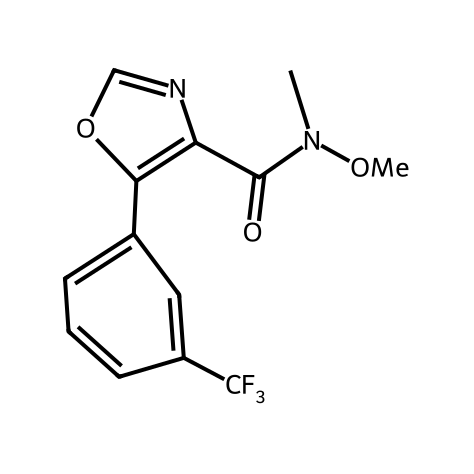 CON(C)C(=O)c1ncoc1-c1cccc(C(F)(F)F)c1